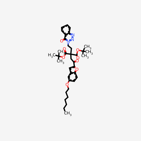 CCCCCCCOc1ccc2oc(C(=O)CC(CCn3nnc4ccccc4c3=O)(C(=O)OC(C)(C)C)C(=O)OC(C)(C)C)cc2c1